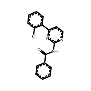 O=C(Nc1nccc(-c2ccccc2Cl)n1)c1ccccc1